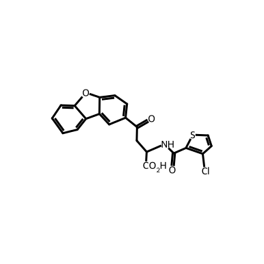 O=C(CC(NC(=O)c1sccc1Cl)C(=O)O)c1ccc2oc3ccccc3c2c1